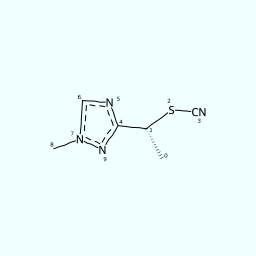 C[C@@H](SC#N)c1ncn(C)n1